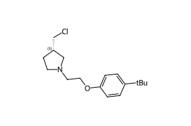 CC(C)(C)c1ccc(OCCN2CC[C@H](CCl)C2)cc1